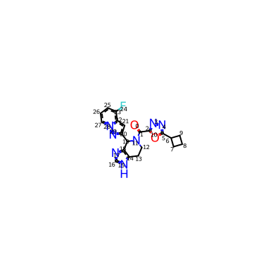 O=C(c1nnc(C2CCC2)o1)N1CCc2[nH]cnc2C1c1cc2c(F)cccn2n1